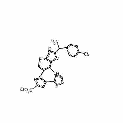 CCOC(=O)c1cc(-c2cccs2)n(-c2ccc3[nH]c(C(N)c4ccc(C#N)cc4)nc3c2C)n1